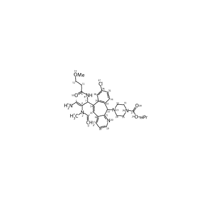 C=CN(C)/C(=C\N)C(NC(=O)CCOC)C1=Cc2cccnc2C(N2CCN(C(=O)OC(C)C)CC2)c2ccc(Cl)cc21